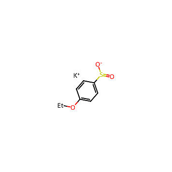 CCOc1ccc(S(=O)[O-])cc1.[K+]